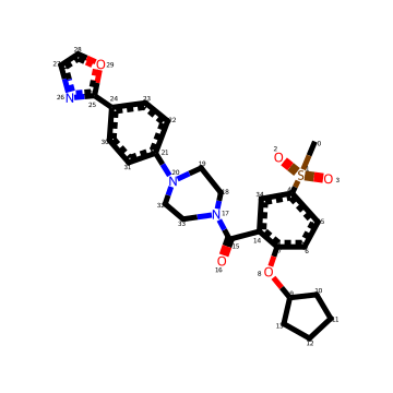 CS(=O)(=O)c1ccc(OC2CCCC2)c(C(=O)N2CCN(c3ccc(-c4ncco4)cc3)CC2)c1